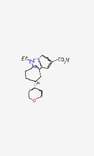 CCn1c2c(c3cc(C(=O)O)ccc31)C[C@H](C1CCOCC1)CC2